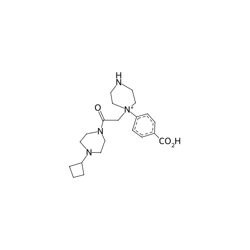 O=C(O)c1ccc([N+]2(CC(=O)N3CCN(C4CCC4)CC3)CCNCC2)cc1